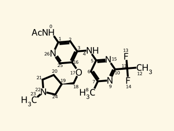 CC(=O)Nc1cc(Nc2cc(C)nc(C(C)(F)F)n2)c(OC[C@@H]2CCN(C)C2)cn1